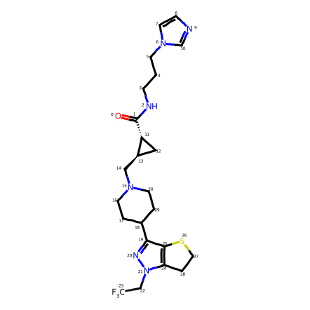 O=C(NCCCn1ccnc1)[C@@H]1C[C@H]1CN1CCC(c2nn(CC(F)(F)F)c3c2SCC3)CC1